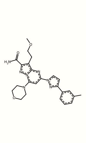 COCCc1c(C(N)=O)nn2c(N3CCOCC3)cc(-n3ccc(-c4cccc(C)c4)n3)nc12